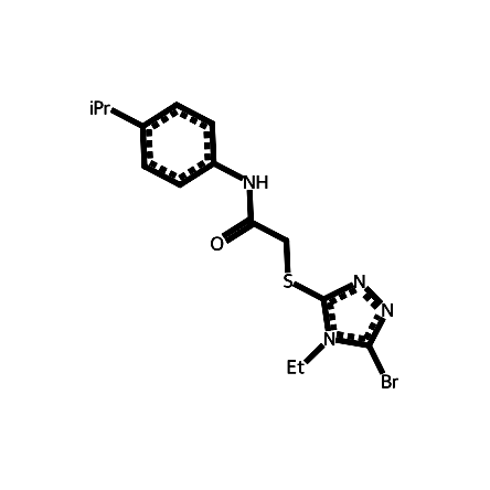 CCn1c(Br)nnc1SCC(=O)Nc1ccc(C(C)C)cc1